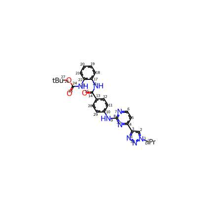 CC(C)n1cc(-c2ccnc(Nc3ccc(C(=O)Nc4ccccc4NC(=O)OC(C)(C)C)cc3)n2)nn1